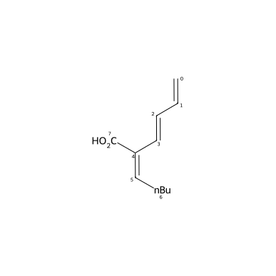 C=CC=CC(=CCCCC)C(=O)O